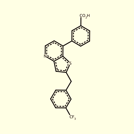 O=C(O)c1cccc(-c2ccnc3cc(Cc4cccc(C(F)(F)F)c4)sc23)c1